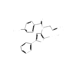 C=CCN(C(=O)c1ccc(C)cc1)c1cc(-c2ccccc2)sc1C(=O)O